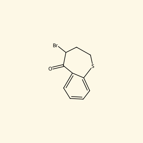 O=C1c2ccccc2SCCC1Br